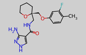 Cc1ccc(OC[C@]2(CNC(=O)c3c[nH]nc3N)CCCCO2)cc1F